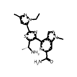 CCn1nc(C)cc1-c1nc(-c2nc(C(N)=O)cc3c2cnn3C)c([C@@H](C)N)s1